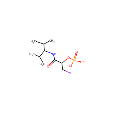 CC(C)C(NC(=O)C(CI)OP(=O)(O)O)C(C)C